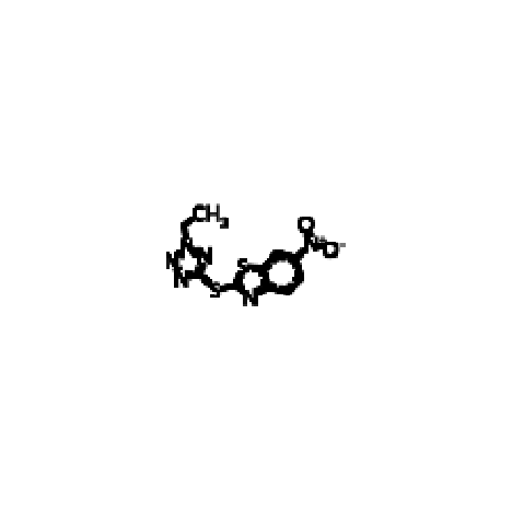 CCn1nnc(Sc2nc3ccc([N+](=O)[O-])cc3s2)n1